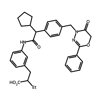 CCC(Cc1cccc(NC(=O)C(c2ccc(CN3N=C(c4ccccc4)OCC3=O)cc2)C2CCCC2)c1)C(=O)O